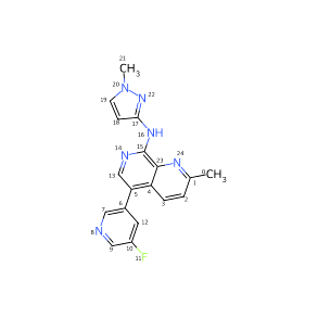 Cc1ccc2c(-c3cncc(F)c3)cnc(Nc3ccn(C)n3)c2n1